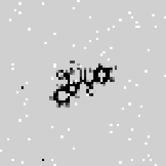 NC(=O)c1c(NC(=O)c2ccc(F)cc2)sc2c1CCCC2